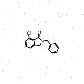 O=C1c2c(Cl)cccc2CN1Cc1ccccc1